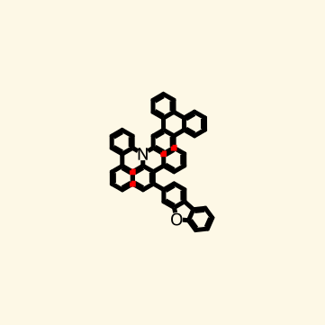 c1ccc(-c2ccccc2N(c2ccc3c4ccccc4c4ccccc4c3c2)c2cccc(-c3ccc4c(c3)oc3ccccc34)c2-c2ccccc2)cc1